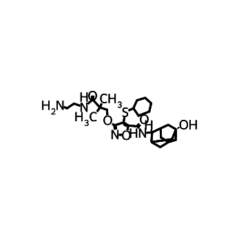 CC(C)(COc1noc(C(=O)N[C@H]2C3CC4CC2C[C@](O)(C4)C3)c1SC1CCCCC1)C(=O)NCCN